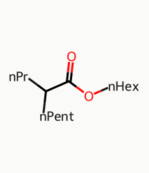 CCCCCCOC(=O)C(CCC)CCCCC